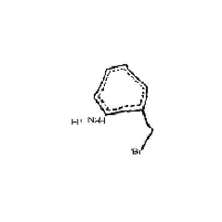 BrCc1ccccc1.[H+].[NaH]